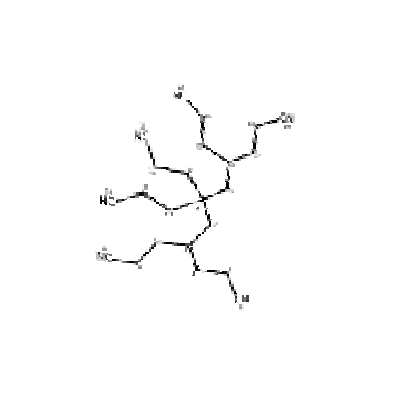 N#CCCC(CCC#N)CC(CCC#N)(CCC#N)CC(CCC#N)CCC#N